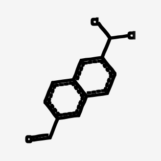 O=Cc1ccc2cc(C(Cl)Cl)ccc2c1